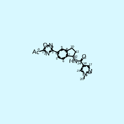 CC(=O)c1nc(-c2ccc3c(c2)CC[C@H]3NC(=O)c2cnn(C)c2)no1